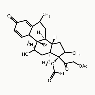 CCC(=O)O[C@]1(C(=O)COC(C)=O)C(C)C[C@H]2[C@@H]3CC(C)C4=CC(=O)C=C[C@]4(C)[C@@]3(Br)C(O)C[C@@]21C